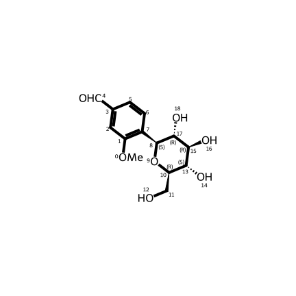 COc1cc(C=O)ccc1[C@@H]1O[C@H](CO)[C@@H](O)[C@H](O)[C@H]1O